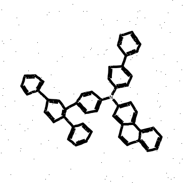 c1ccc(-c2ccc(N(c3ccc(-c4cc(-c5ccccc5)ccc4-c4ccccc4)cc3)c3ccc4c(ccc5ccccc54)c3)cc2)cc1